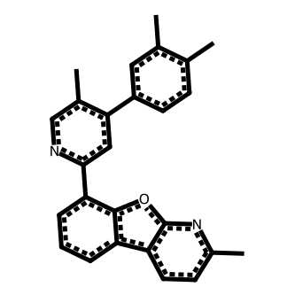 Cc1ccc2c(n1)oc1c(-c3cc(-c4ccc(C)c(C)c4)c(C)cn3)cccc12